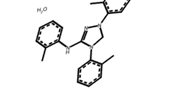 Cc1ccccc1NC1=NN(c2ccccc2C)CN1c1ccccc1C.O